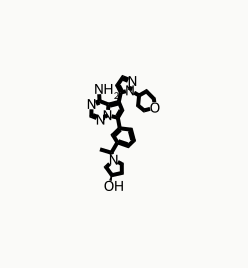 CC(c1cccc(-c2cc(-c3ccnn3C3CCOCC3)c3c(N)ncnn23)c1)N1CC[C@@H](O)C1